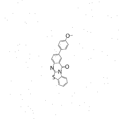 COc1ccc(-c2ccc3nc4sc5ccccc5n4c(=O)c3c2)cc1